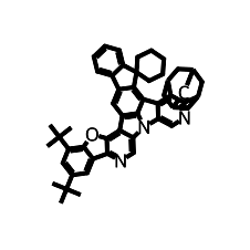 CC(C)(C)c1cc(C(C)(C)C)c2oc3c(ncc4c3c3cc5c(c6c7c8c(ncc7n4c36)C3CC4CC(C3)CC8C4)C3(CCCCC3)c3ccccc3-5)c2c1